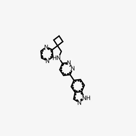 c1cnc(C2(CNc3ccc(-c4ccc5[nH]ncc5c4)nn3)CCC2)cn1